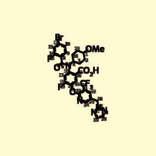 COC1CCC(N(C(=O)c2ccc(Br)cc2F)c2cc(F)c(Oc3ncc(Cn4nccn4)cc3C(F)(F)F)cc2C(=O)O)CC1